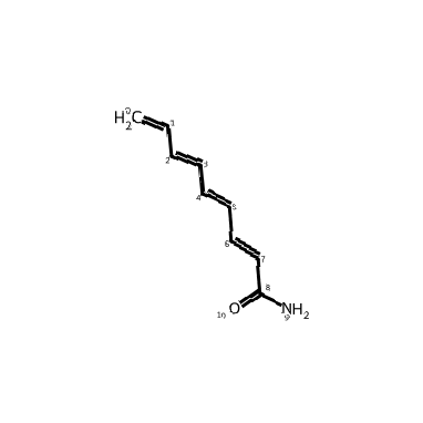 C=CC=CC=CC=CC(N)=O